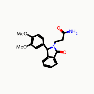 COc1ccc(C2c3ccccc3C(=O)N2CCC(N)=O)cc1OC